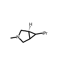 CC(C)C1C2CN(C)C[C@H]21